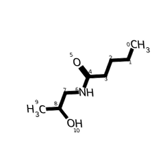 CCCCC(=O)NCC(C)O